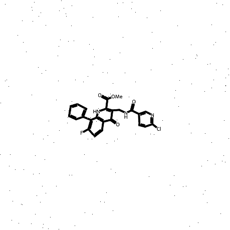 COC(=O)c1[nH]c2c(-c3ccccc3)c(F)ccc2c(=O)c1CNC(=O)c1ccc(Cl)nc1